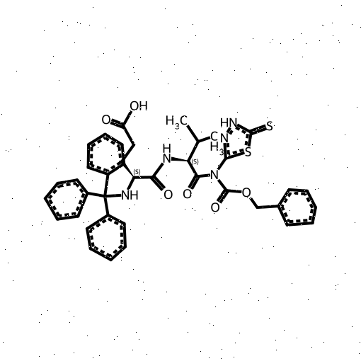 CC(C)[C@H](NC(=O)[C@H](CCC(=O)O)NC(c1ccccc1)(c1ccccc1)c1ccccc1)C(=O)N(C(=O)OCc1ccccc1)c1n[nH]c(=S)s1